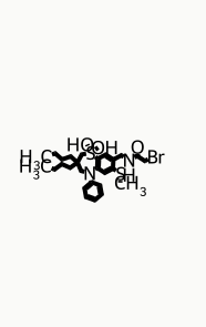 CCCCC1(CCCC)CN(c2ccccc2)c2cc(SC)c(CNC(=O)CBr)cc2S(O)(O)C1